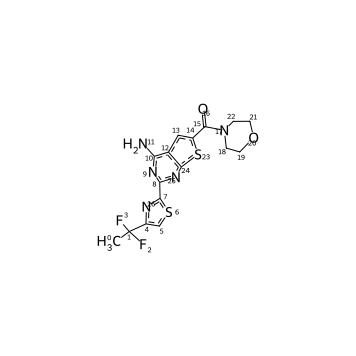 CC(F)(F)c1csc(-c2nc(N)c3cc(C(=O)N4CCOCC4)sc3n2)n1